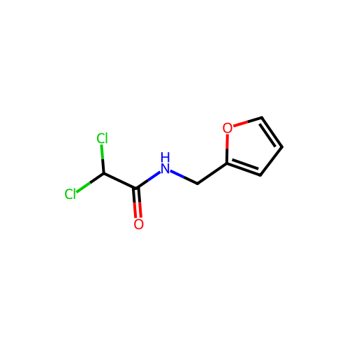 O=C(NCc1ccco1)C(Cl)Cl